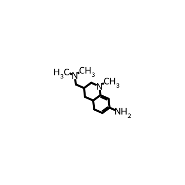 CN(C)CC1CC2CC=C(N)C=C2N(C)C1